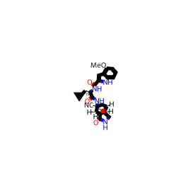 COc1cccc2[nH]c(C(=O)N[C@@H](CC3CC3)C(=O)N[C@@]3(C#N)C[C@@H]4CCC[C@H]3[C@H]3C(=O)NC[C@H]43)cc12